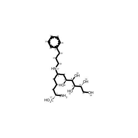 N[C@@H](CCCC(C[C@H](O)[C@@H](O)[C@H](O)[C@H](O)CO)NCCCc1ccccc1)C(=O)O